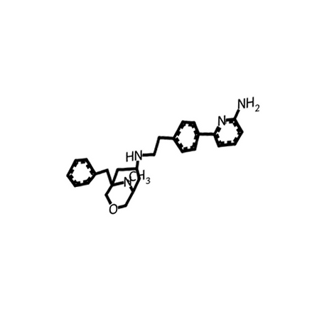 CN1C2COCC1(Cc1ccccc1)CC(NCCc1ccc(-c3cccc(N)n3)cc1)C2